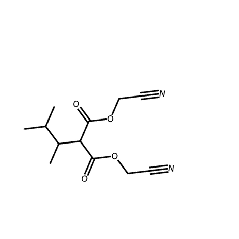 CC(C)C(C)C(C(=O)OCC#N)C(=O)OCC#N